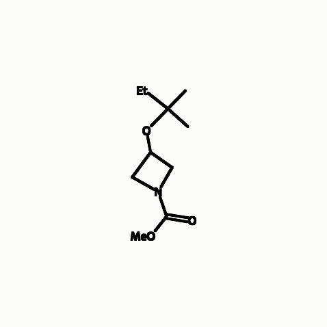 CCC(C)(C)OC1CN(C(=O)OC)C1